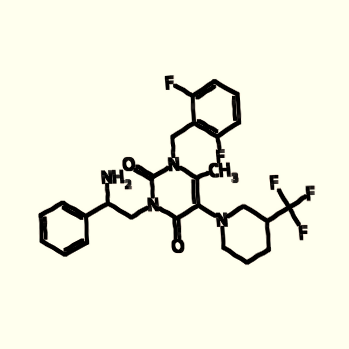 Cc1c(N2CCCC(C(F)(F)F)C2)c(=O)n(CC(N)c2ccccc2)c(=O)n1Cc1c(F)cccc1F